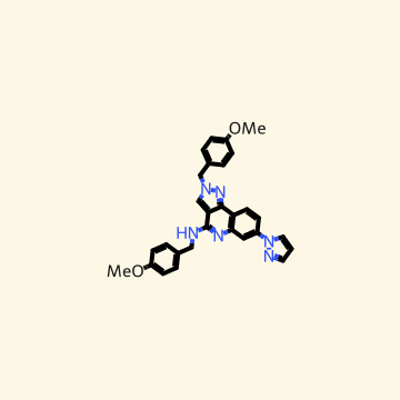 COc1ccc(CNc2nc3cc(-n4cccn4)ccc3c3nn(Cc4ccc(OC)cc4)cc23)cc1